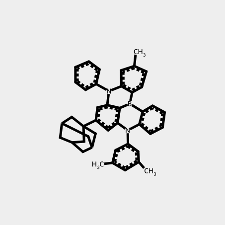 Cc1cc(C)cc(N2c3ccccc3B3c4ccc(C)cc4N(c4ccccc4)c4cc(C56CC7CC(CC(C7)C5)C6)cc2c43)c1